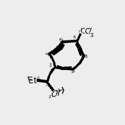 CCC(O)c1ccc(C(Cl)(Cl)Cl)cc1